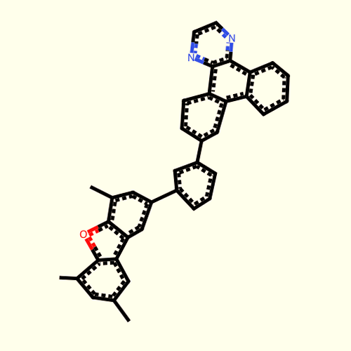 Cc1cc(C)c2oc3c(C)cc(-c4cccc(-c5ccc6c(c5)c5ccccc5c5nccnc65)c4)cc3c2c1